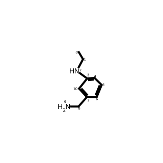 CCNc1cccc(CN)c1